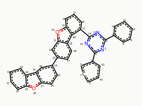 c1ccc(-c2nc(-c3ccccc3)nc(-c3cccc4oc5cc(-c6ccc7oc8ccccc8c7c6)ccc5c34)n2)cc1